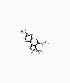 COC(=O)c1c(-c2cnc(C)cn2)cnn1C